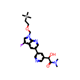 CN(C)C(=O)C(O)c1cncc(-c2cnc3c(c2)c(I)cn3COCC[Si](C)(C)C)c1